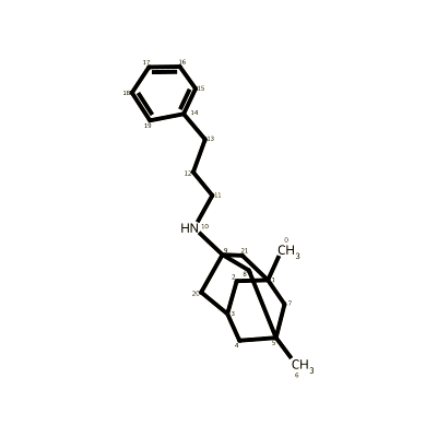 CC12CC3CC(C)(C1)CC(NCCCc1ccccc1)(C3)C2